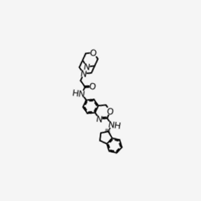 CN1C2COCC1CN(CC(=O)Nc1ccc3c(c1)COC(N[C@@H]1CCc4ccccc41)=N3)C2